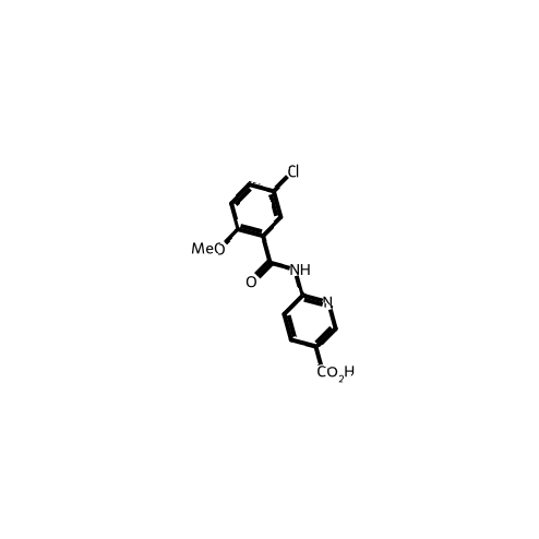 COc1ccc(Cl)cc1C(=O)Nc1ccc(C(=O)O)cn1